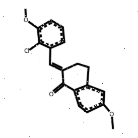 COc1ccc2c(c1)CCC(=Cc1cccc(OC)c1Cl)C2=O